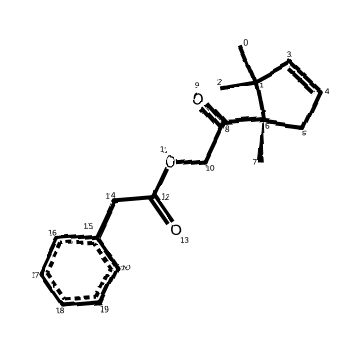 CC1(C)C=CC[C@]1(C)C(=O)COC(=O)Cc1ccccc1